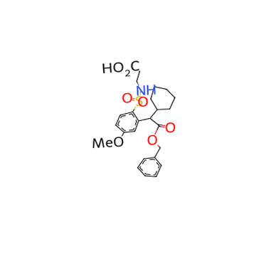 COc1ccc(S(=O)(=O)NCCC(=O)O)c(C(C(=O)OCc2ccccc2)C2CCCCC2)c1